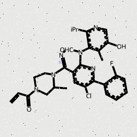 C=CC(=O)N1CCN(/C(=N/C)c2cc(Cl)c(-c3ccccc3F)nc2N(C=O)c2c(C(C)C)ncc(O)c2C)C(C)C1